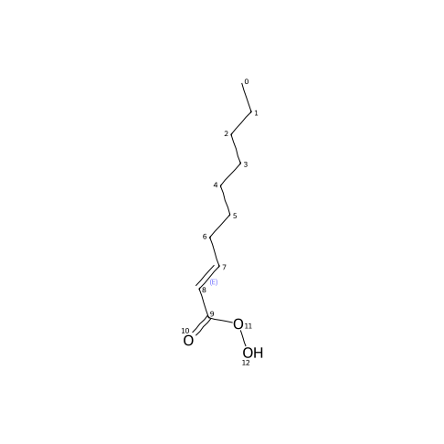 CCCCCCC/C=C/C(=O)OO